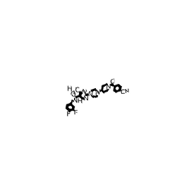 Cc1nc(N2CCN(C3CCN(C(=O)c4ccc(C#N)cc4)CC3)CC2)ncc1C(=O)NCc1ccc(F)c(F)c1